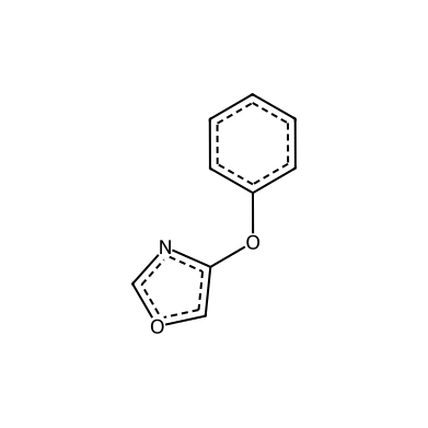 c1ccc(Oc2cocn2)cc1